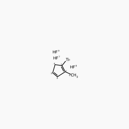 CC1=[C]([Ti])CC=C1.F.F.F